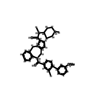 COc1cccc(-c2ccc(C(=O)N3Cc4ccc(C(=O)N(C)C5CCN(C)CC5)n4Cc4ccccc43)cc2C)c1